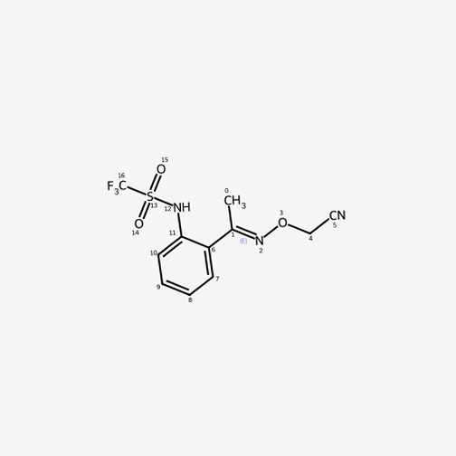 C/C(=N\OCC#N)c1ccccc1NS(=O)(=O)C(F)(F)F